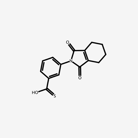 O=C1C2=C(CCCC2)C(=O)N1c1cccc(C(O)=S)c1